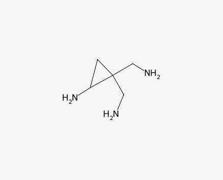 NCC1(CN)CC1N